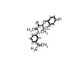 CCC(Oc1ccc(F)cc1Cl)C(=O)N(C)Cc1cccc(N(C)C)c1